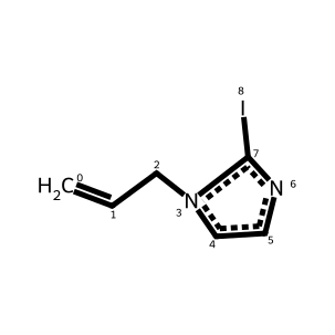 C=CCn1ccnc1I